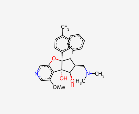 COc1cncc2c1[C@]1(O)[C@H](O)[C@H](CN(C)C)[C@@H](c3ccccc3)[C@]1(c1ccc(C(F)(F)F)cc1)O2